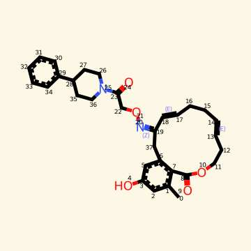 Cc1cc(O)cc2c1C(=O)OCC/C=C/CC/C=C/C(=N\OCC(=O)N1CCC(c3ccccc3)CC1)C2